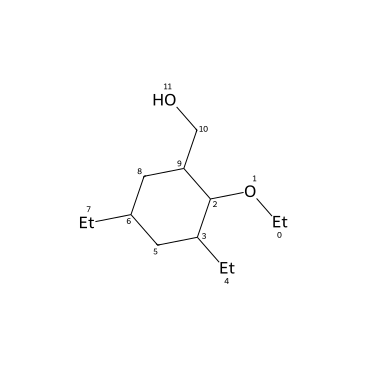 CCOC1C(CC)CC(CC)CC1CO